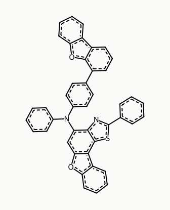 c1ccc(-c2nc3c(N(c4ccccc4)c4ccc(-c5cccc6c5oc5ccccc56)cc4)cc4oc5ccccc5c4c3s2)cc1